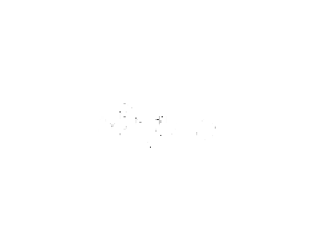 N=C(NC(=O)Cc1cccnc1)[C@@H]1CC[C@@H]2CN1C(=O)N2OS(=O)(=O)[O-].[Na+]